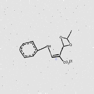 CCOC(=O)/C(=C/Nc1ccccc1)C1OC(C)O1